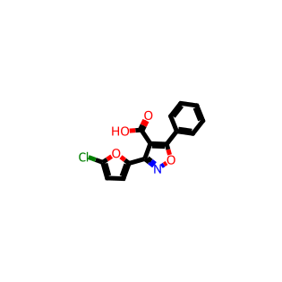 O=C(O)c1c(-c2ccc(Cl)o2)noc1-c1ccccc1